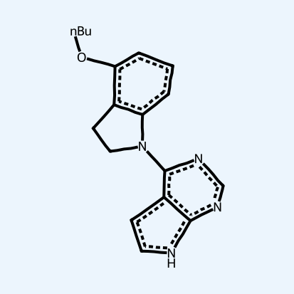 CCCCOc1cccc2c1CCN2c1ncnc2[nH]ccc12